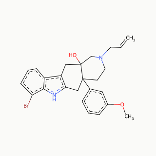 C=CCN1CCC2(c3cccc(OC)c3)Cc3[nH]c4c(Br)cccc4c3CC2(O)C1